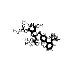 CC(C)Oc1nnc(O)c2c1nc(CC(C)(C)C)n2Cc1ccc(-c2ccccc2-c2nnn[nH]2)cc1